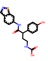 O=C(O)NCCC(C(=O)Nc1ccc2cnsc2c1)c1ccc(O)cc1